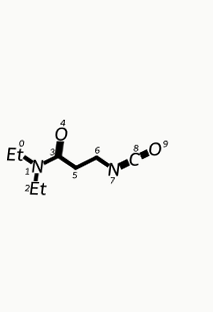 CCN(CC)C(=O)CCN=C=O